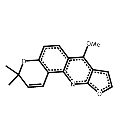 COc1c2ccoc2nc2c3c(ccc12)OC(C)(C)C=C3